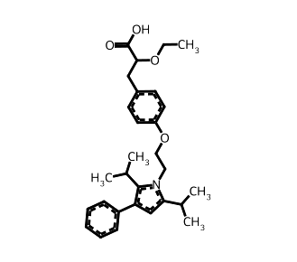 CCOC(Cc1ccc(OCCn2c(C(C)C)cc(-c3ccccc3)c2C(C)C)cc1)C(=O)O